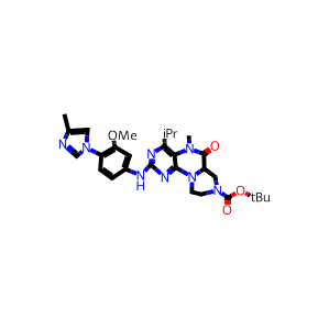 COc1cc(Nc2nc(C(C)C)c3c(n2)N2CCN(C(=O)OC(C)(C)C)CC2C(=O)N3C)ccc1-n1cnc(C)c1